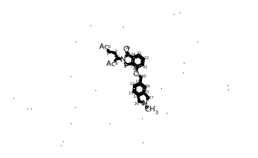 CC(=O)CCC(C(C)=O)N1Cc2c(OCc3ccc4c(c3)CN(C)C4)cccc2C1=O